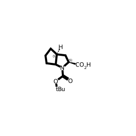 CC(C)(C)OC(=O)N1C2CCC[C@H]2C[C@H]1C(=O)O